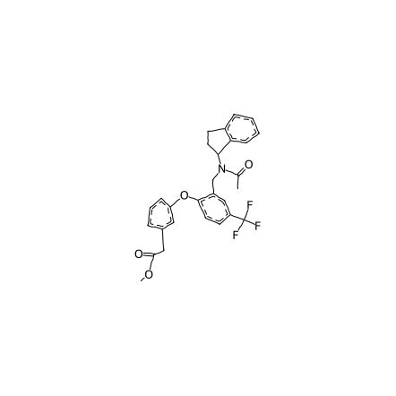 COC(=O)Cc1cccc(Oc2ccc(C(F)(F)F)cc2CN(C(C)=O)C2CCc3ccccc32)c1